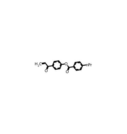 C=CC(=O)c1ccc(OC(=O)c2ccc(CCC)cc2)cc1